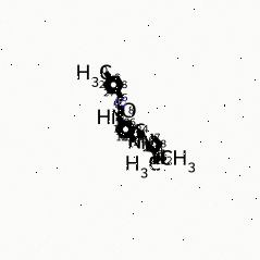 Cc1ccc(/C=C/C(=O)Nc2ccc3nc(N4CC[C@@H](N(C)C)C4)sc3c2)cc1